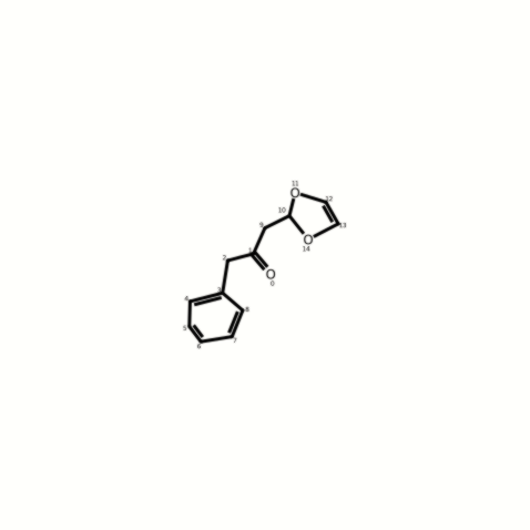 O=C(Cc1ccccc1)CC1OC=CO1